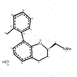 CNC[C@H]1CCc2cccc(-c3ccccc3C)c2O1.Cl